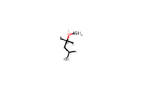 CCC(C)CC(C)(C)O[SiH3]